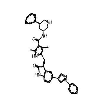 Cc1[nH]c(/C=C2\C(=O)Nc3ccc(-c4cnn(-c5ccccc5)c4)cc32)c(C)c1C(=O)NC1CNCC(c2ccccc2)C1